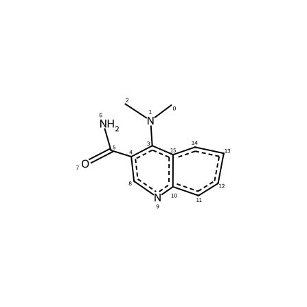 CN(C)c1c(C(N)=O)cnc2ccccc12